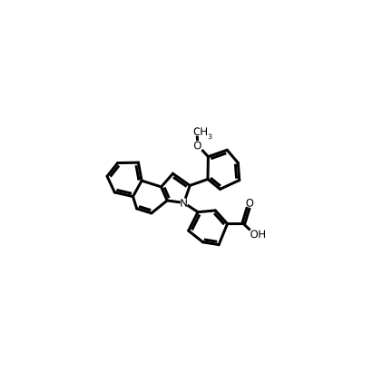 COc1ccccc1-c1cc2c3ccccc3ccc2n1-c1cccc(C(=O)O)c1